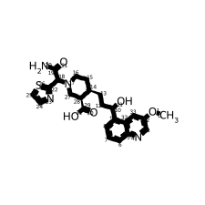 COc1cnc2cccc(C(O)CC[C@@H]3CCN(C(C(N)=O)c4nccs4)C[C@@H]3C(=O)O)c2c1